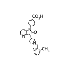 Cc1cccnc1CN1CCC(n2c(=O)n(-c3ccc(C(=O)O)cc3)c3cccnc32)C1